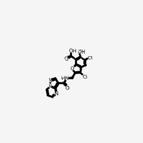 O=C(O)c1c(O)c(Cl)cc2c(Cl)c(CNC(=O)c3cnn4cccnc34)oc12